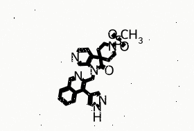 CS(=O)(=O)N1CCC2(CC1)C(=O)N(Cc1ncc3ccccc3c1-c1cn[nH]c1)c1cnccc12